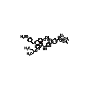 CCCC(CC)Oc1nc(N(Cc2ccc(OC)cc2)Cc2ccc(OC)cc2)c2ncc(C(O)c3cnc(N4CCN(C(=O)OC(C)(C)C)CC4)c(C)c3)n2n1